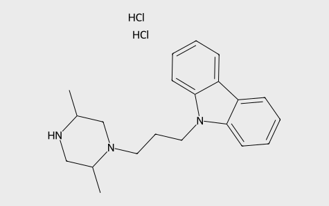 CC1CN(CCCn2c3ccccc3c3ccccc32)C(C)CN1.Cl.Cl